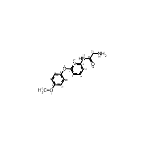 COc1ccc(Oc2cccc(NC(=O)CN)n2)cc1